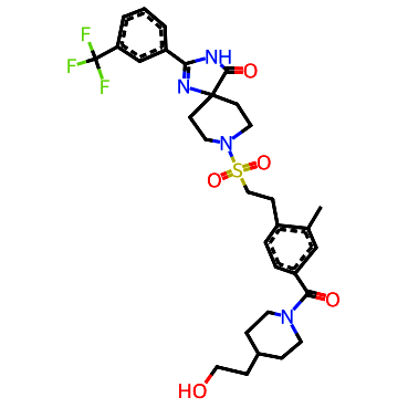 Cc1cc(C(=O)N2CCC(CCO)CC2)ccc1CCS(=O)(=O)N1CCC2(CC1)N=C(c1cccc(C(F)(F)F)c1)NC2=O